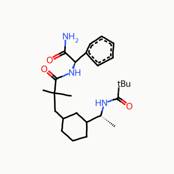 C[C@@H](NC(=O)C(C)(C)C)C1CCCC(CC(C)(C)C(=O)N[C@@H](C(N)=O)c2ccccc2)C1